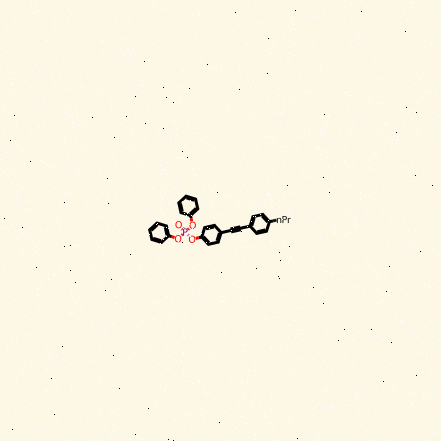 CCCc1ccc(C#Cc2ccc(OP(=O)(Oc3ccccc3)Oc3ccccc3)cc2)cc1